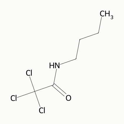 CCCCNC(=O)C(Cl)(Cl)Cl